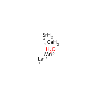 O.[CaH2].[La].[Mn].[SrH2]